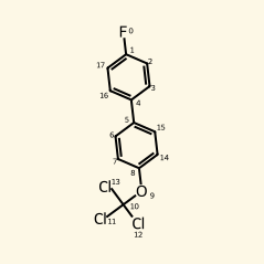 Fc1ccc(-c2ccc(OC(Cl)(Cl)Cl)cc2)cc1